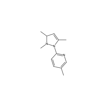 CC1=CC(C)N(C)N1c1ccc(C)cn1